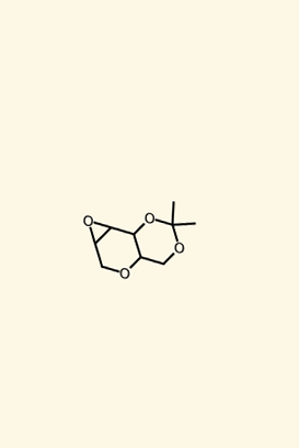 CC1(C)OCC2OCC3OC3C2O1